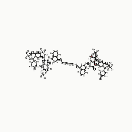 CC[C@H](N[C@@H](Cc1ccc(OCC#CC#CCOc2ccc(C[C@H](N[C@@H](CC)C(=O)N(C)C(=O)OC(C)(C)C)C(=O)N3CC(C)(C)c4nc(O[Si](C)(C)C(C)(C)C)c(Cc5ccc(F)cc5)cc43)c3ccccc23)c2ccccc12)C(=O)N1CC(C)(C)c2nc(O[Si](C)(C)C(C)(C)C)c(Cc3ccc(F)cc3)cc21)C(=O)N(C)C(=O)OC(C)(C)C